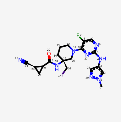 Cn1cc(Nc2ncc(F)c(N3CCC[C@@](CI)(NC(=O)C4C[C@H]4C#N)C3)n2)cn1